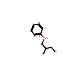 [CH2]C(CC)COc1ccccc1